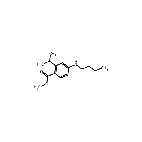 CCCCNc1ccc(C(=O)OC)c(C(C)C)c1